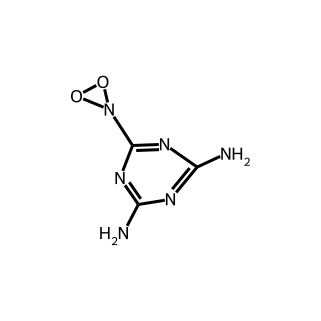 Nc1nc(N)nc(-n2oo2)n1